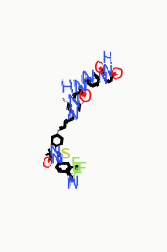 C[C@@H]1CN(CCCC[C@H]2CC[C@H](N3C(=S)N(c4ccc(C#N)c(C(F)(F)F)c4)C(=O)C3(C)C)CC2)C[C@H](C)N1CC(=O)Nc1ccc(N2CCC(=O)NC2=O)cn1